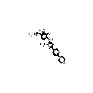 C=NNc1ccc(Nc2nc(-c3ccc(N4CCOCC4)nc3)nn2C)c(Cl)c1C